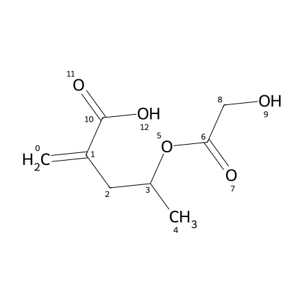 C=C(CC(C)OC(=O)CO)C(=O)O